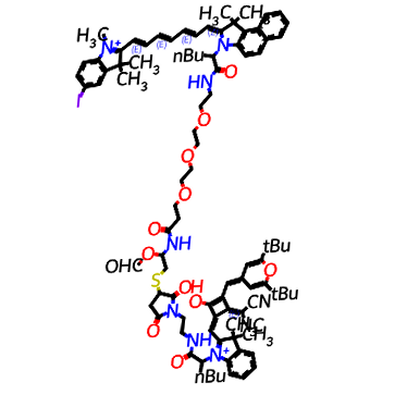 [C-]#[N+]/C(C#N)=C1\C(=CC2=[N+](C(CCCC)C(=O)NCCN3C(=O)CC(SCC(NC(=O)CCOCCOCCOCCNC(=O)C(CCCC)N4\C(=C/C=C/C=C/C=C/C5=[N+](C)c6ccc(I)cc6C5(C)C)C(C)(C)c5c4ccc4ccccc54)OC=O)C3=O)c3ccccc3C2(C)C)C(O)=C1C=C1C=C(C(C)(C)C)OC(C(C)(C)C)=C1